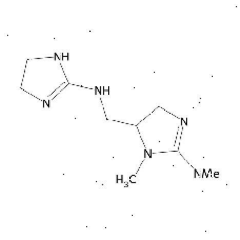 CNC1=NCC(CNC2=NCCN2)N1C